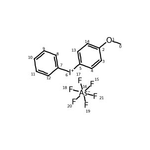 COc1ccc([I+]c2ccccc2)cc1.F[As-](F)(F)(F)(F)F